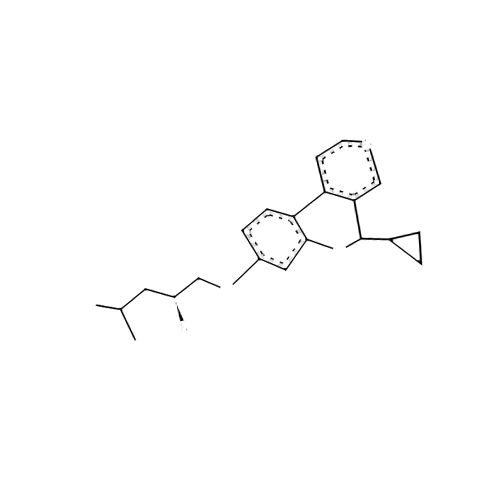 CC(C=O)C[C@H](N)COc1ccc2c(c1)OC(C1CC1)c1cnccc1-2